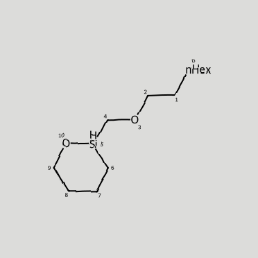 CCCCCCCCOC[SiH]1CCCCO1